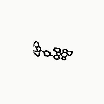 c1ccc2c(c1)-c1c(-c3ccc(-c4cc5cccnc5c5ncccc45)cc3)cccc1C21c2ccccc2-c2cccc3cccc1c23